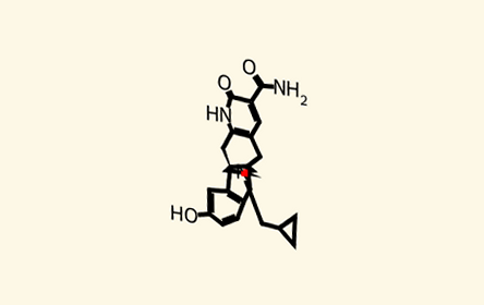 NC(=O)c1cc2c([nH]c1=O)C[C@@]13CCN(CC4CC4)CC1(Cc1ccc(O)cc13)C2